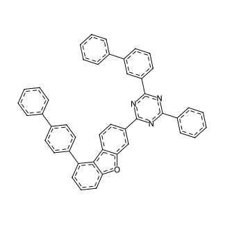 c1ccc(-c2ccc(-c3cccc4oc5cc(-c6nc(-c7ccccc7)nc(-c7cccc(-c8ccccc8)c7)n6)ccc5c34)cc2)cc1